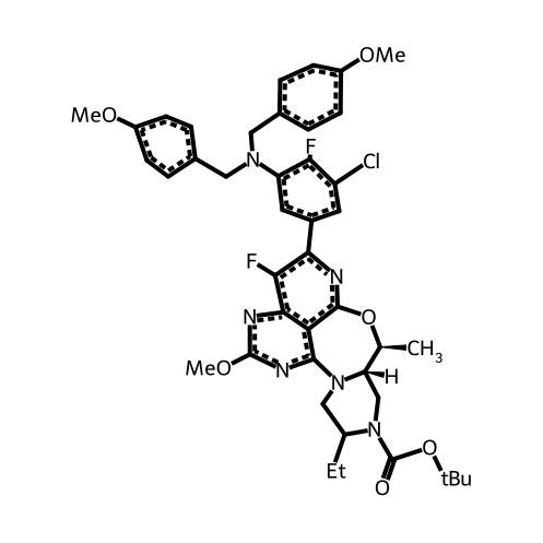 CCC1CN2c3nc(OC)nc4c(F)c(-c5cc(Cl)c(F)c(N(Cc6ccc(OC)cc6)Cc6ccc(OC)cc6)c5)nc(c34)O[C@@H](C)[C@@H]2CN1C(=O)OC(C)(C)C